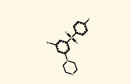 O=S(=O)(c1ccc(F)cc1)c1cc(Br)cc(N2CCOCC2)c1